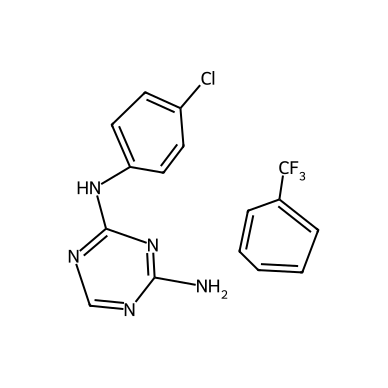 FC(F)(F)c1ccccc1.Nc1ncnc(Nc2ccc(Cl)cc2)n1